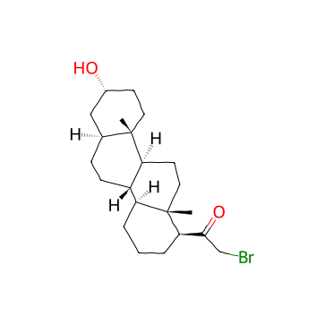 C[C@]12CC[C@@H](O)C[C@@H]1CC[C@@H]1[C@@H]2CC[C@]2(C)[C@@H](C(=O)CBr)CCC[C@@H]12